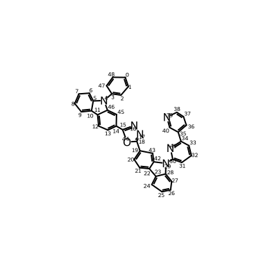 c1ccc(-n2c3ccccc3c3ccc(-c4nnc(-c5ccc6c7ccccc7n(-c7cccc(-c8cccnc8)n7)c6c5)o4)cc32)cc1